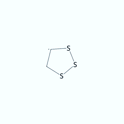 [CH]1CSSS1